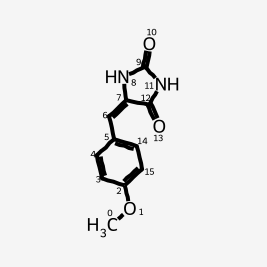 COc1ccc(C=C2NC(=O)NC2=O)cc1